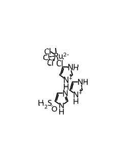 O=[SH2].[CH3][Ru-2]([CH3])([Cl])([Cl])([Cl])[Cl].c1c[nH+]c[nH]1.c1c[nH+]c[nH]1.c1c[nH]cn1